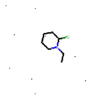 CCN1CCCCC1Cl